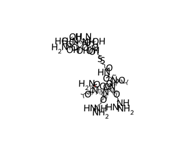 CCC(CC)(C(=O)CNC(=O)CCCSSCCCC(=O)OC1C(O)C(CN)OC(OC2C(N)C[C@@H](N)C(OC3OC(CO)C(O)[C@H](N)C3O)C2O)C1O)N1C[C@H](OCC(C)C)C[C@H]1C(=O)N1C[C@H](OCCCNC(=N)N)C[C@H]1C(=O)N1C[C@H](OCCCNC(=N)N)C[C@H]1C(=O)C(CC)(CC)N1C[C@H](OCC(C)C)C[C@H]1C(N)=O